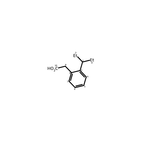 CCC(CC)c1ccccc1CC(=O)O